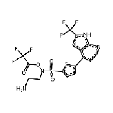 NCCN(OC(=O)C(F)(F)F)S(=O)(=O)c1ccc(-c2ccnc3[nH]c(C(F)(F)F)cc23)s1